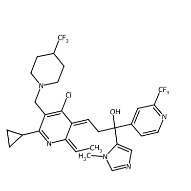 C/C=c1/nc(C2CC2)c(CN2CCC(C(F)(F)F)CC2)c(Cl)/c1=C/CC(O)(c1ccnc(C(F)(F)F)c1)c1cncn1C